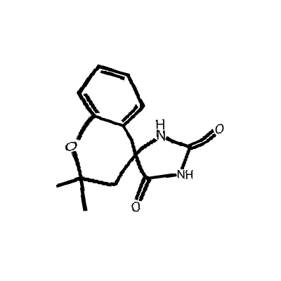 CC1(C)CC2(NC(=O)NC2=O)c2ccccc2O1